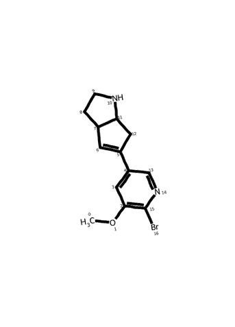 COc1cc(C2=CC3CCNC3C2)cnc1Br